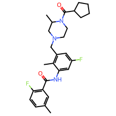 Cc1ccc(F)c(C(=O)Nc2cc(F)cc(CN3CCN(C(=O)C4CCCC4)C(C)C3)c2C)c1